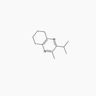 Cc1nc2c(nc1C(C)C)CCCC2